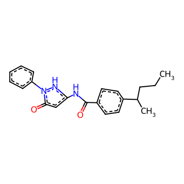 CCCC(C)c1ccc(C(=O)Nc2cc(=O)n(-c3ccccc3)[nH]2)cc1